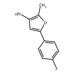 CCCc1cc(-c2ccc(F)cc2)oc1C